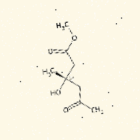 COC(=O)C[C@@](C)(O)CC(C)=O